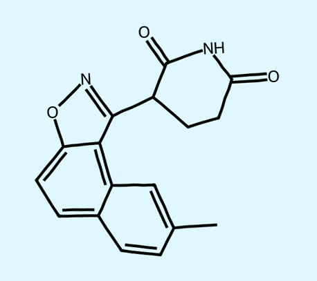 Cc1ccc2ccc3onc(C4CCC(=O)NC4=O)c3c2c1